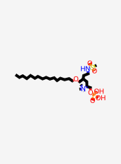 CCCCCCCCCCCCCCCCOCC(CCNS(C)(=O)=O)CC(COP(=O)(O)O)[N+](C)(C)C